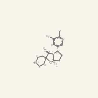 Cc1ncc([C@@H]2CC[C@H]3OC4(CCNCC4)C(=O)N32)cc1F